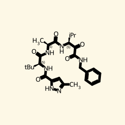 Cc1cc(C(=O)N[C@H](C(=O)N[C@@H](C)C(=O)N[C@H](C(=O)C(=O)NCc2ccccc2)C(C)C)C(C)(C)C)[nH]n1